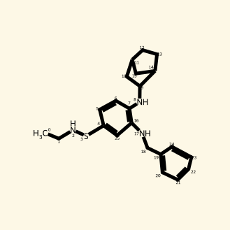 CCNSc1ccc(NC2CC3CCC2C3)c(NCc2ccccc2)c1